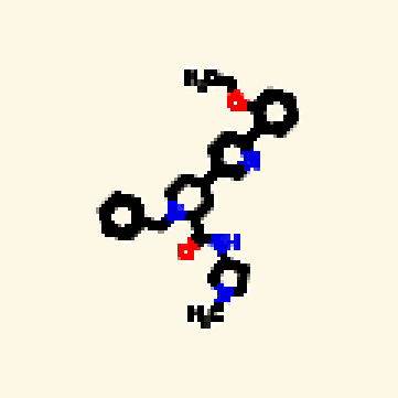 CCOc1ccccc1-c1ccc(C2CCN(Cc3ccccc3)C(C(=O)N[C@H]3CCN(C)C3)C2)cn1